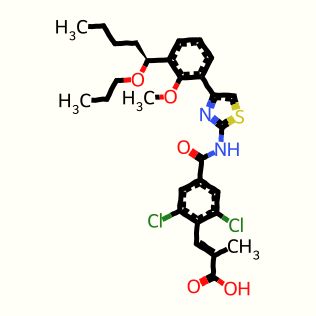 CCCC[C@H](OCCC)c1cccc(-c2csc(NC(=O)c3cc(Cl)c(C=C(C)C(=O)O)c(Cl)c3)n2)c1OC